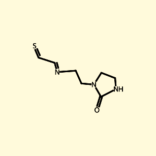 O=C1NCCN1CCN=CC=S